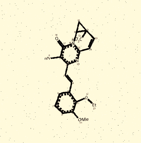 CCCc1c(/C=C/c2cccc(OC)c2OCC)nc2n(c1=O)C1CC1(C(=O)O)C=C2